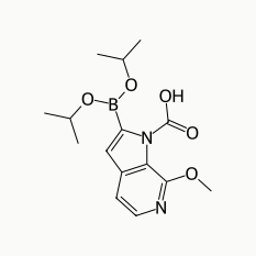 COc1nccc2cc(B(OC(C)C)OC(C)C)n(C(=O)O)c12